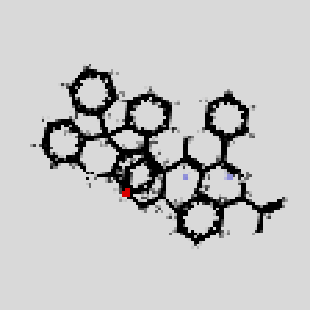 C=C(C)C(/N=C(\C(C)=C(/C)C1=C(c2ccccc2C2(c3ccccc3)c3ccccc3Oc3ccccc32)C=CC[C@@H]1C)c1ccccc1)c1ccccc1